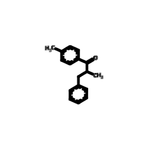 Cc1ccc(C(=O)C(C)Cc2ccccc2)cc1